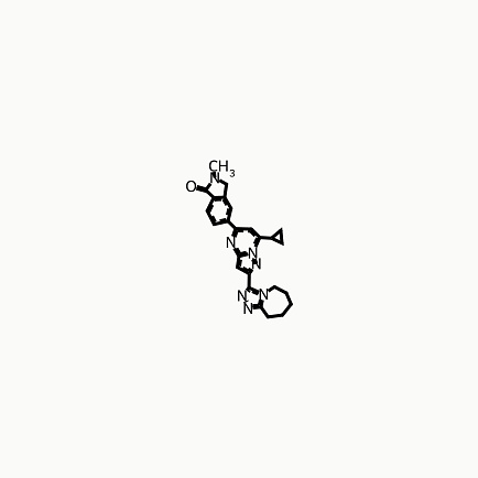 CN1Cc2cc(-c3cc(C4CC4)n4nc(-c5nnc6n5CCCCC6)cc4n3)ccc2C1=O